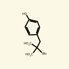 CC(C)(C)C(Cc1ccc(O)cc1)(C(=O)O)C(=O)O